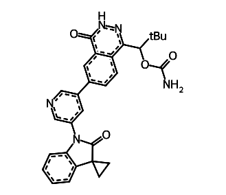 CC(C)(C)C(OC(N)=O)c1n[nH]c(=O)c2cc(-c3cncc(N4C(=O)C5(CC5)c5ccccc54)c3)ccc12